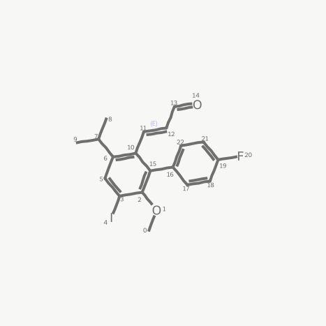 COc1c(I)cc(C(C)C)c(/C=C/C=O)c1-c1ccc(F)cc1